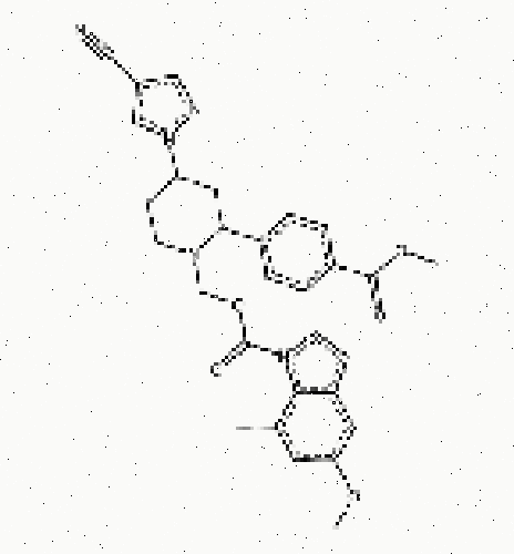 COC(=O)c1ccc(C2CC(n3cc(C#N)cn3)CCN2COC(=O)n2ccc3cc(OC)cc(C)c32)cc1